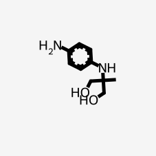 CC(CO)(CO)Nc1ccc(N)cc1